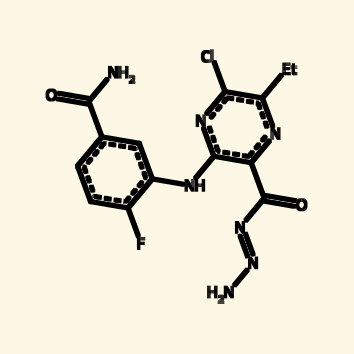 CCc1nc(C(=O)N=NN)c(Nc2cc(C(N)=O)ccc2F)nc1Cl